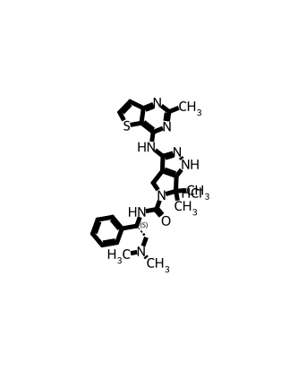 Cc1nc(Nc2n[nH]c3c2CN(C(=O)N[C@H](CN(C)C)c2ccccc2)C3(C)C)c2sccc2n1.Cl